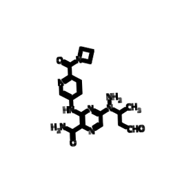 CC(CC=O)N(N)c1cnc(C(N)=O)c(Nc2ccc(C(=O)N3CCC3)nc2)n1